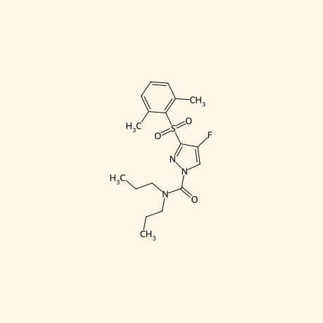 CCCN(CCC)C(=O)n1cc(F)c(S(=O)(=O)c2c(C)cccc2C)n1